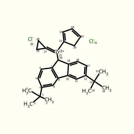 CC(C)(C)c1ccc2c(c1)-c1cc(C(C)(C)C)ccc1[CH]2[Zr+2]([C]1=CC=CC1)=[C]1CC1.[Cl-].[Cl-]